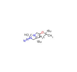 CC(C)(C)[C@@]1(CN=[N+]=[N-])C[C@H](O[Si](C)(C)C(C)(C)C)CN1C(=O)O